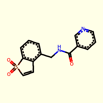 O=C(NCc1cccc2c1C=CS2(=O)=O)c1cccnc1